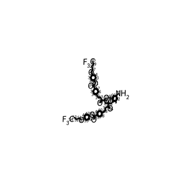 Nc1ccc(CC(O)(CC(O)C(=O)/C=C/c2ccc(C(=O)Oc3ccc(OCCCC(F)(F)F)cc3)cc2)C(=O)/C=C/c2ccc(C(=O)Oc3ccc(OCCCC(F)(F)F)cc3)cc2)cc1